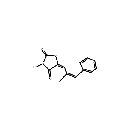 CCN1C(=O)C(=CC(C)=Cc2ccccc2)SC1=S